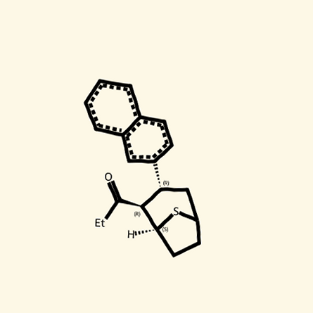 CCC(=O)[C@@H]1[C@@H]2CCC(C[C@H]1c1ccc3ccccc3c1)S2